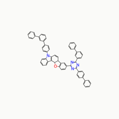 C1=CC2c3cc(-c4nc(-c5ccc(-c6ccccc6)cc5)nc(-c5cccc(-c6ccccc6)c5)n4)ccc3OC2c2c1n(-c1ccc(-c3cccc(-c4ccccc4)c3)cc1)c1ccccc21